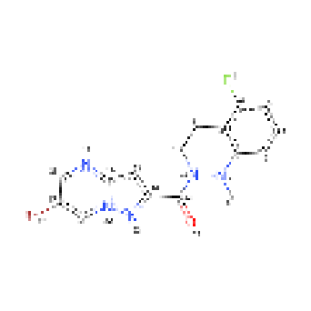 CN1c2cccc(F)c2CCN1C(=O)c1cc2ncc(Br)cn2n1